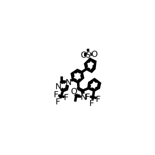 Cc1nc(-c2ccccc2C(F)(F)F)c(-c2cc(-c3cccc(S(C)(=O)=O)c3)ccc2-n2cc(C(F)(F)F)nc2C)o1